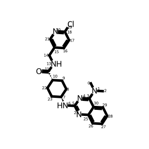 CN(C)c1nc(N[C@H]2CC[C@@H](C(=O)NCc3ccc(Cl)nc3)CC2)nc2ccccc12